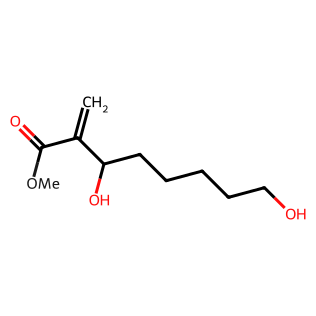 C=C(C(=O)OC)C(O)CCCCCO